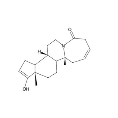 C[C@]12CCC3[C@@H](CCN4C(=O)CC=CC[C@]34C)C1CC=C2O